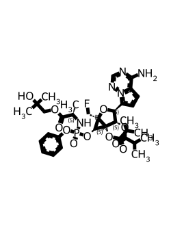 CC(C)C(=O)O[C@H]1[C@H](c2ccc3c(N)ncnn23)O[C@]2(CF)[C@@H](OP(=O)(N[C@@H](C)C(=O)OCC(C)(C)O)Oc3ccccc3)[C@]12OC(=O)C(C)C